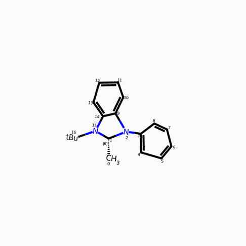 C[C@H]1N(c2ccccc2)c2ccccc2N1C(C)(C)C